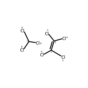 ClC(Cl)=C(Cl)Cl.ClC(Cl)Cl